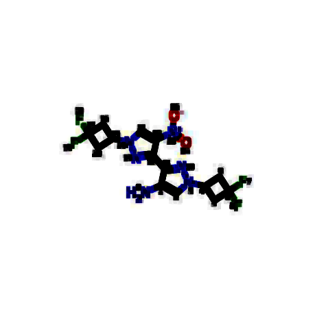 Nc1cn(C2CC(F)(F)C2)nc1-c1nn(C2CC(F)(F)C2)cc1[N+](=O)[O-]